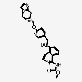 COC(=O)Nc1nccc2c([AsH]Cc3ccc(OC[C@@H]4CCn5ccnc5C4)nc3)cccc12